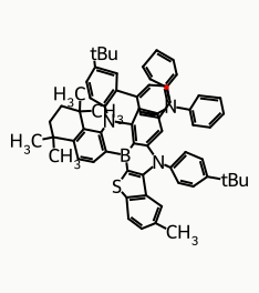 Cc1ccc2sc3c(c2c1)N(c1ccc(C(C)(C)C)cc1)c1cc(N(c2ccccc2)c2ccccc2)cc2c1B3c1ccc3c(c1N2c1ccc(C(C)(C)C)cc1-c1ccccc1)C(C)(C)CCC3(C)C